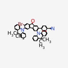 CC1(C)C2=CCCC=C2N(c2cc3c(cc2Br)C(=O)c2cc(-c4ccc(C#N)cc4)c(N4C5=C(C=C=C=C5)C(C)(C)c5ccccc54)cc2-3)c2ccccc21